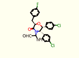 CCCC(C=O)N1C(=O)[C@@H](Cc2ccc(F)cc2)O[C@H](c2ccc(Cl)cc2)[C@@H]1c1ccc(Cl)cc1